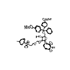 COc1ccc(C(OC[C@H]2O[C@@H](n3ccc(=O)[nH]c3=O)[C@H](OCOCCS(=O)(=O)c3ccc(C)cc3)[C@@H]2O)(c2ccccc2)c2ccc(OC)cc2)cc1